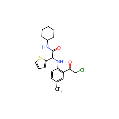 O=C(CCl)c1cc(C(F)(F)F)ccc1NC(C(=O)NC1CCCCC1)c1cccs1